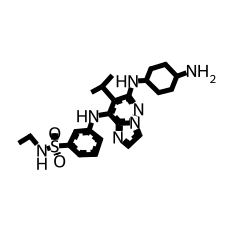 CCNS(=O)(=O)c1cccc(Nc2c(C(C)C)c(NC3CCC(N)CC3)nn3ccnc23)c1